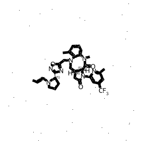 CC=CN1CCC[C@H]1c1noc(CN2C[C@H]3CC(=O)N(c4cc(C(F)(F)F)cc(C)n4)[C@@H]3C(=O)N(C)c3cccc(C)c32)n1